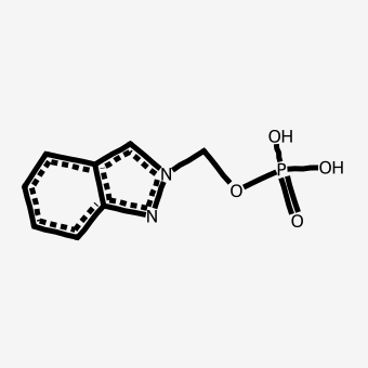 O=P(O)(O)OCn1cc2ccccc2n1